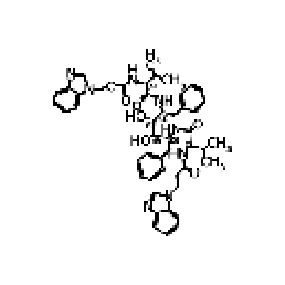 CC(C)[C@H](NC(=O)CCn1cnc2ccccc21)C(=O)N[C@@H](Cc1ccccc1)[C@@H](O)[C@H](O)[C@H](Cc1ccccc1)NC(=O)[C@@H](NC(=O)CCn1cnc2ccccc21)C(C)C